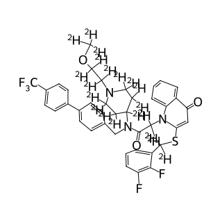 [2H]C([2H])([2H])OC([2H])([2H])C([2H])([2H])N1C([2H])([2H])C([2H])([2H])C([2H])(N(Cc2ccc(-c3ccc(C(F)(F)F)cc3)cc2)C(=O)C([2H])([2H])n2c(SC([2H])([2H])c3cccc(F)c3F)cc(=O)c3ccccc32)C([2H])([2H])C1([2H])[2H]